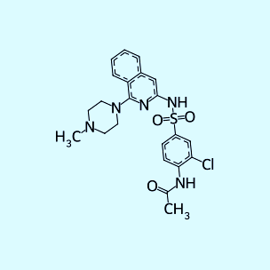 CC(=O)Nc1ccc(S(=O)(=O)Nc2cc3ccccc3c(N3CCN(C)CC3)n2)cc1Cl